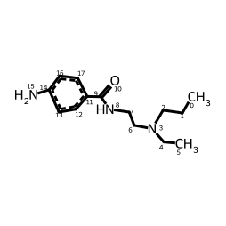 CCCN(CC)CCNC(=O)c1ccc(N)cc1